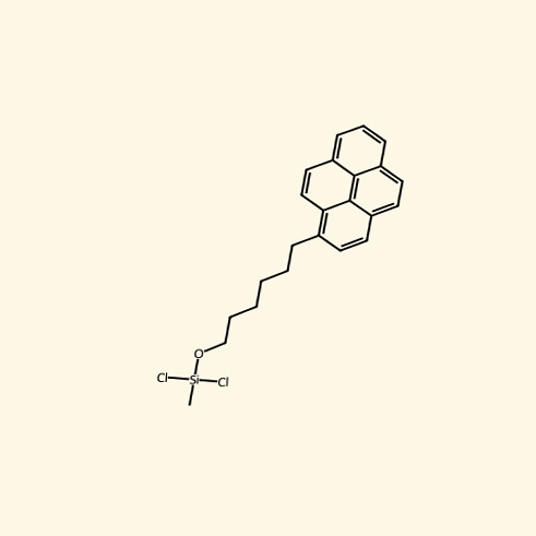 C[Si](Cl)(Cl)OCCCCCCc1ccc2ccc3cccc4ccc1c2c34